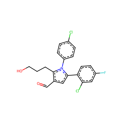 O=Cc1cc(-c2ccc(F)cc2Cl)n(-c2ccc(Cl)cc2)c1CCCO